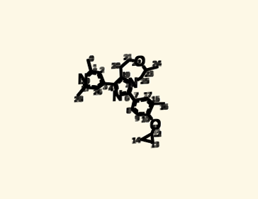 Cc1cc(-c2nc(-c3ccc(OC4CC4)c(C)c3)n3c2CCOC(C)C3)cc(C)n1